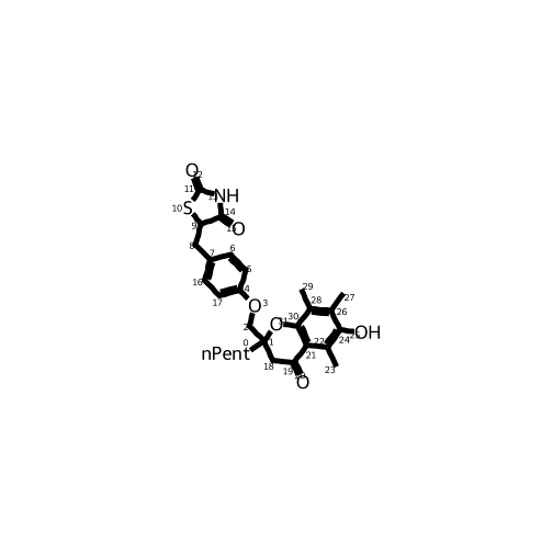 CCCCCC1(COc2ccc(CC3SC(=O)NC3=O)cc2)CC(=O)c2c(C)c(O)c(C)c(C)c2O1